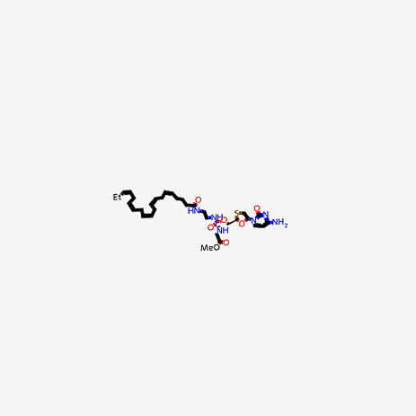 CC/C=C\C/C=C\C/C=C\C/C=C\C/C=C\CCCC(=O)NCCNP(=O)(NCC(=O)OC)OC[C@@H]1OC(n2ccc(N)nc2=O)CS1